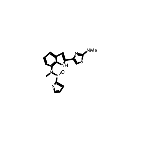 CNc1nc(-c2cc3cccc(N(C)[S+]([O-])c4cccs4)c3[nH]2)cs1